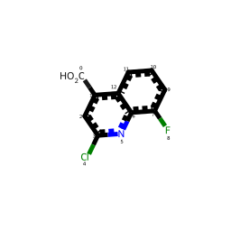 O=C(O)c1cc(Cl)nc2c(F)cccc12